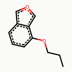 CCCOc1cccc2cocc12